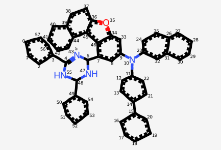 c1ccc(C2=NC(c3cc(N(c4ccc(-c5ccccc5)cc4)c4ccc5ccccc5c4)cc4oc5ccc6ccccc6c5c34)NC(c3ccccc3)N2)cc1